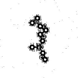 c1ccc(-c2nc(-c3ccc4c(c3)oc3ccccc34)nc(-c3ccc4oc5c(-c6cccc7sc8cc(-n9c%10ccccc%10c%10ccccc%109)ccc8c67)cccc5c4c3)n2)cc1